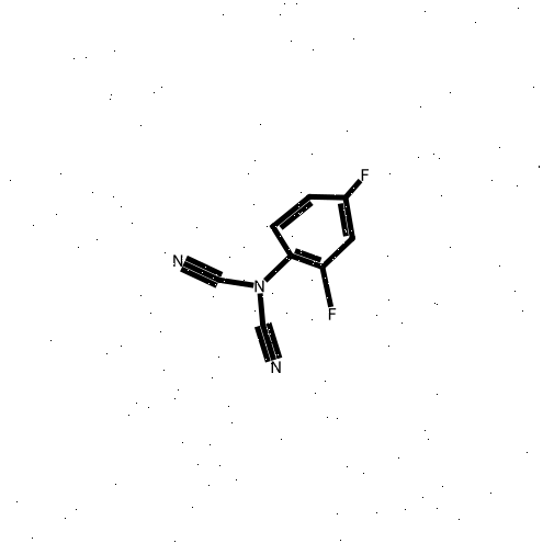 N#CN(C#N)c1ccc(F)cc1F